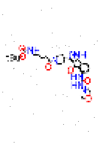 CC(C)(C)OC(=O)NCCCCC(=O)N1CCC(c2n[nH]c3c2C(=O)c2c(NC(=O)NN4CCOCC4)cccc2-3)CC1